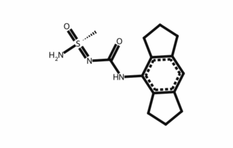 C[S@](N)(=O)=NC(=O)Nc1c2c(cc3c1CCC3)CCC2